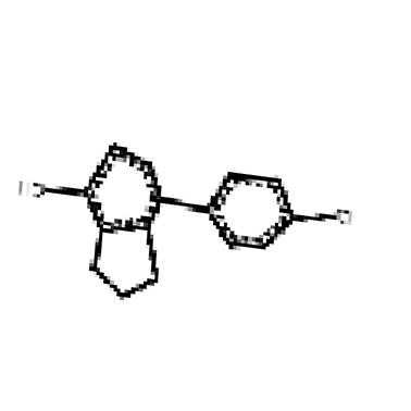 Oc1ccc(-c2ccc(O)c3c2CCC3)cc1